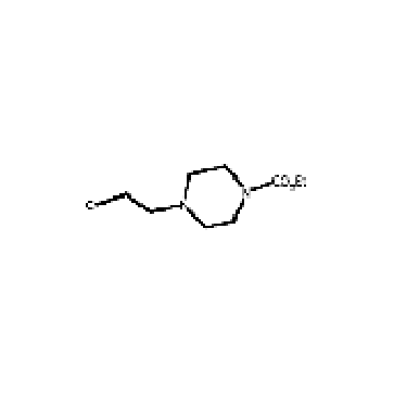 CCOC(=O)N1CCN(CCCl)CC1